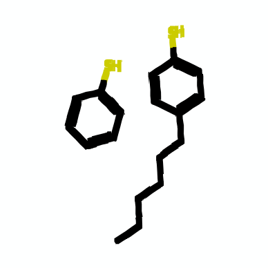 CCCCCCc1ccc(S)cc1.Sc1ccccc1